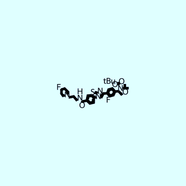 CC(C)(C)OC(=O)N1C(c2ccc(-c3cn4c(n3)sc3cc(C(=O)NCCCN5CCC(F)CC5)ccc34)c(F)c2)COC1(C)C